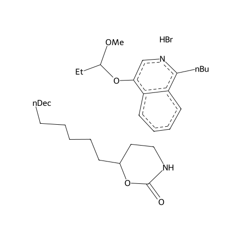 Br.CCCCCCCCCCCCCCCC1CCNC(=O)O1.CCCCc1ncc(OC(CC)OC)c2ccccc12